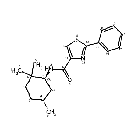 C[C@@H]1CCC(C)(C)[C@@H](NC(=O)c2csc(-c3ccccc3)n2)C1